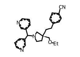 CCOC[C@@]1(CCc2ccc(C#N)cc2)CCN(C(c2cccnc2)c2cccnc2)C1